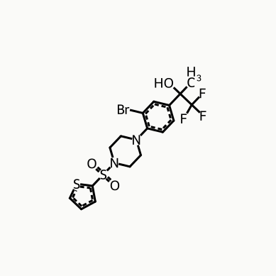 CC(O)(c1ccc(N2CCN(S(=O)(=O)c3cccs3)CC2)c(Br)c1)C(F)(F)F